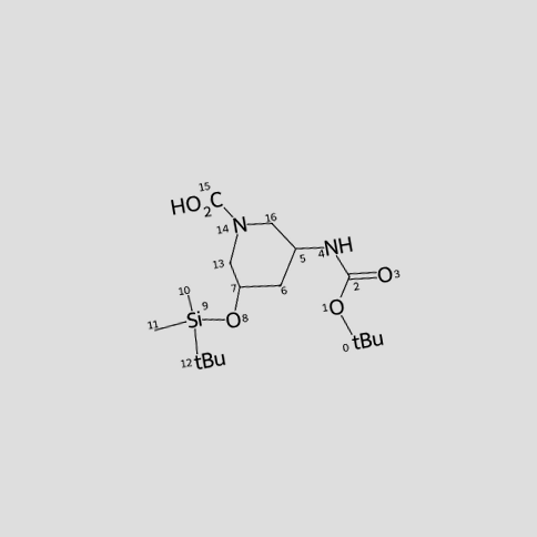 CC(C)(C)OC(=O)NC1CC(O[Si](C)(C)C(C)(C)C)CN(C(=O)O)C1